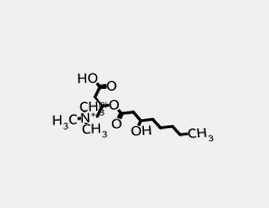 CCCCCC(O)CC(=O)O[C@H](CC(=O)O)C[N+](C)(C)C